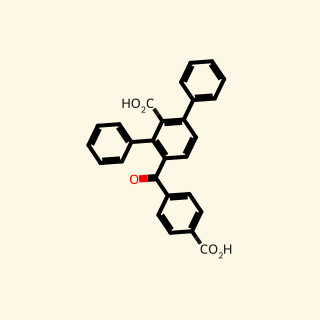 O=C(O)c1ccc(C(=O)c2ccc(-c3ccccc3)c(C(=O)O)c2-c2ccccc2)cc1